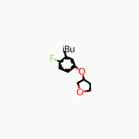 CCC(C)c1cc(OC2CCOC2)ccc1F